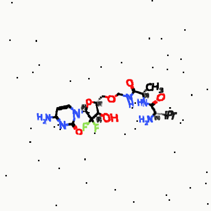 CC(C)[C@H](N)C(=O)N[C@@H](C)C(=O)NCOC[C@H]1O[C@@H](n2ccc(N)nc2=O)C(F)(F)[C@@H]1O